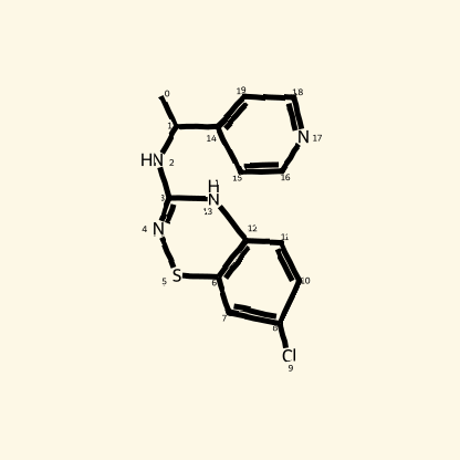 CC(NC1=NSc2cc(Cl)ccc2N1)c1ccncc1